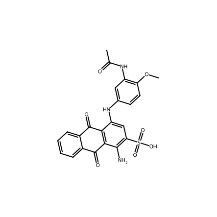 COc1ccc(Nc2cc(S(=O)(=O)O)c(N)c3c2C(=O)c2ccccc2C3=O)cc1NC(C)=O